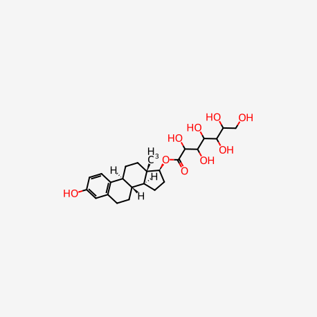 C[C@]12CC[C@@H]3c4ccc(O)cc4CC[C@H]3[C@@H]1CC[C@@H]2OC(=O)C(O)C(O)C(O)C(O)C(O)CO